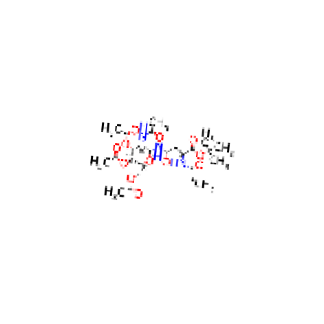 C=CC(=O)N[C@@H](CC(=O)N[C@@H]1O[C@H](COC(C)=O)[C@@H](OC(C)=O)[C@H](OC(C)=O)[C@H]1NC(C)=O)C(=O)OC(C)(C)C